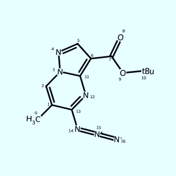 Cc1cn2ncc(C(=O)OC(C)(C)C)c2nc1N=[N+]=[N-]